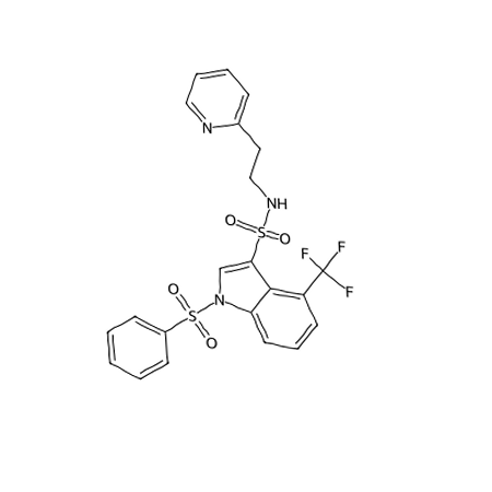 O=S(=O)(NCCc1ccccn1)c1cn(S(=O)(=O)c2ccccc2)c2cccc(C(F)(F)F)c12